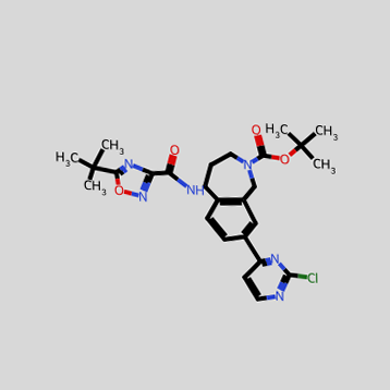 CC(C)(C)OC(=O)N1CC[C@@H](NC(=O)c2noc(C(C)(C)C)n2)c2ccc(-c3ccnc(Cl)n3)cc2C1